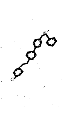 C[C@@H](Cc1ccc(-c2ccc(CCc3ccc(Cl)cc3)cc2)cc1)c1ccccc1